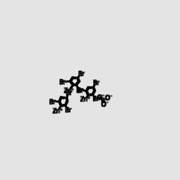 [O-]B([O-])[O-].[Zn+][c]1c(Br)cc(Br)cc1Br.[Zn+][c]1c(Br)cc(Br)cc1Br.[Zn+][c]1c(Br)cc(Br)cc1Br